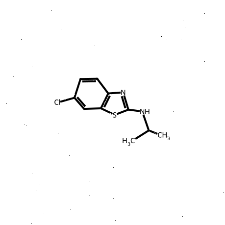 CC(C)Nc1nc2ccc(Cl)cc2s1